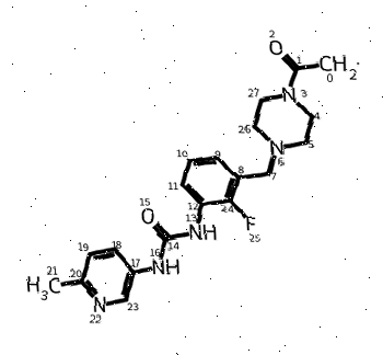 [CH2]C(=O)N1CCN(Cc2cccc(NC(=O)Nc3ccc(C)nc3)c2F)CC1